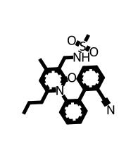 CCCc1cc(C)c(CNS(C)(=O)=O)c(=O)n1-c1ccccc1-c1ccccc1C#N